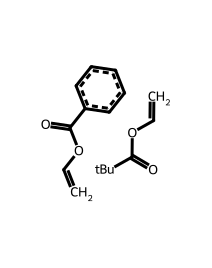 C=COC(=O)C(C)(C)C.C=COC(=O)c1ccccc1